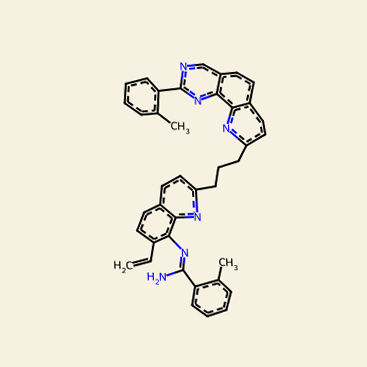 C=Cc1ccc2ccc(CCCc3ccc4ccc5cnc(-c6ccccc6C)nc5c4n3)nc2c1/N=C(\N)c1ccccc1C